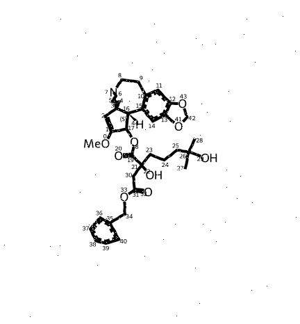 COC1=CC23CCCN2CCc2cc4c(cc2[C@@H]3C1OC(=O)C(O)(CCCC(C)(C)O)CC(=O)OCc1ccccc1)OCO4